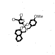 COc1ccc(CN(Cc2cccc3ccccc23)S(=O)(=O)c2cc(Cl)c(Cl)s2)cc1